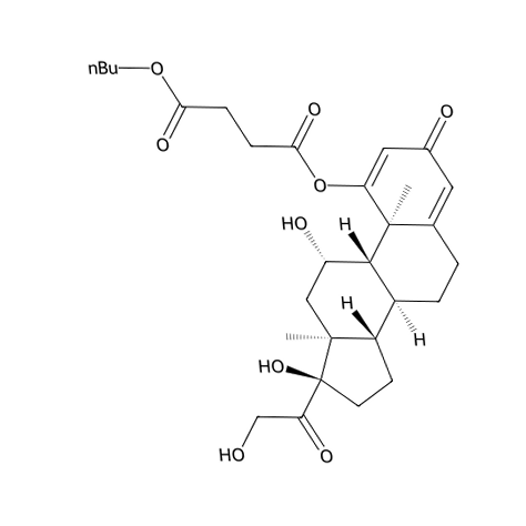 CCCCOC(=O)CCC(=O)OC1=CC(=O)C=C2CC[C@@H]3[C@H]([C@@H](O)C[C@@]4(C)[C@H]3CC[C@]4(O)C(=O)CO)[C@]21C